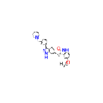 COc1ccc2c(c1)C1(C[C@H]1c1ccc3c(-c4cccc(CN5CCCCC5)c4)n[nH]c3c1)C(=O)N2